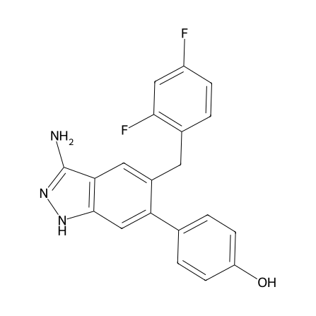 Nc1n[nH]c2cc(-c3ccc(O)cc3)c(Cc3ccc(F)cc3F)cc12